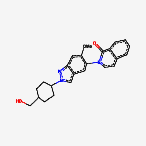 COc1cc2nn(C3CCC(CO)CC3)cc2cc1-n1ccc2ccccc2c1=O